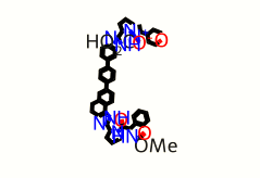 COC(=O)NC(C(=O)N1CCCC1c1nc2c([nH]1)-c1ccc(-c3ccc(-c4ccc5nc(C6CCCN6[N+]([O-])(C(=O)O)C(C)C6CCOCC6)[nH]c5c4)cc3)cc1CC2)c1ccccc1